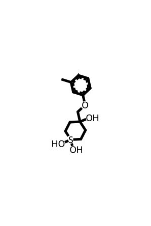 Cc1[c]ccc(OCC2(O)CCS(O)(O)CC2)c1